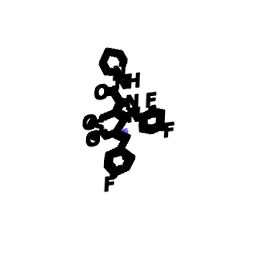 O=C(NN1CCCCC1)c1nn(-c2ccc(F)cc2F)c2c1CS(=O)(=O)C/C2=C\c1ccc(F)cc1